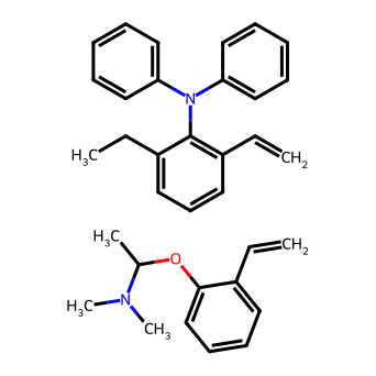 C=Cc1cccc(CC)c1N(c1ccccc1)c1ccccc1.C=Cc1ccccc1OC(C)N(C)C